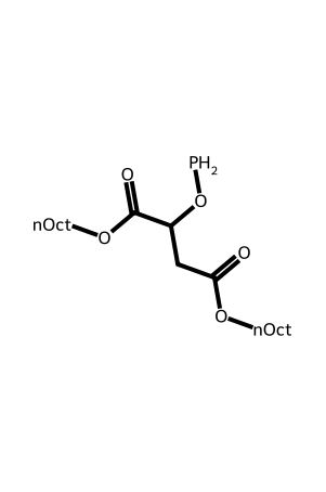 CCCCCCCCOC(=O)CC(OP)C(=O)OCCCCCCCC